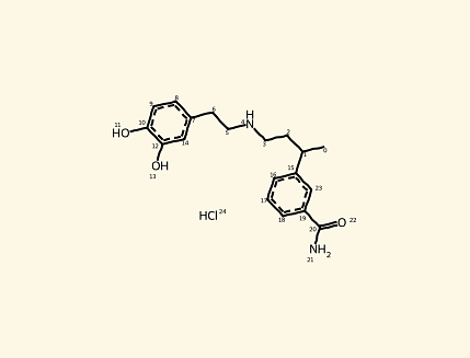 CC(CCNCCc1ccc(O)c(O)c1)c1cccc(C(N)=O)c1.Cl